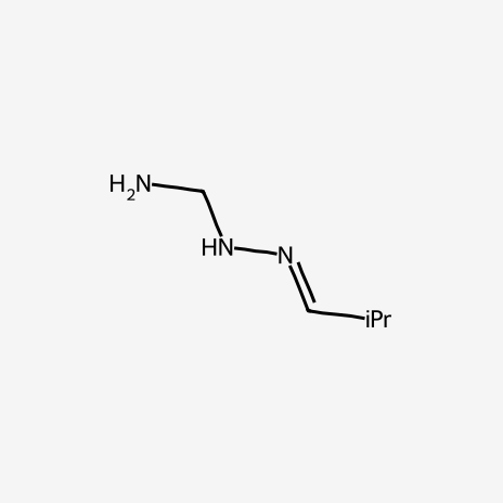 CC(C)/C=N/NCN